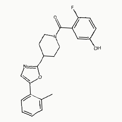 Cc1ccccc1-c1cnc(C2CCN(C(=O)c3cc(O)ccc3F)CC2)o1